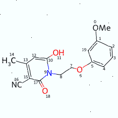 COc1cccc(OCCn2c(O)cc(C)c(C#N)c2=O)c1